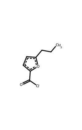 CCCc1ccc(C(=O)Cl)o1